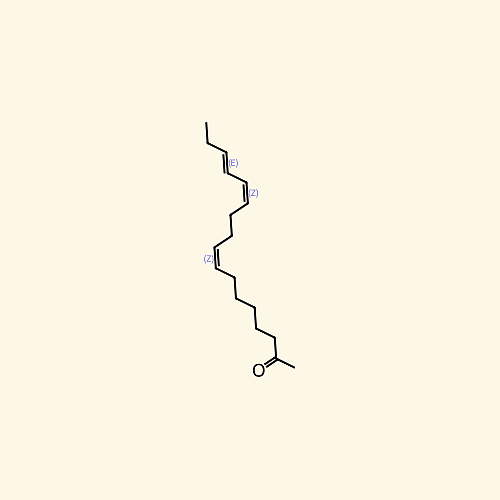 CC/C=C/C=C\CC/C=C\CCCCCC(C)=O